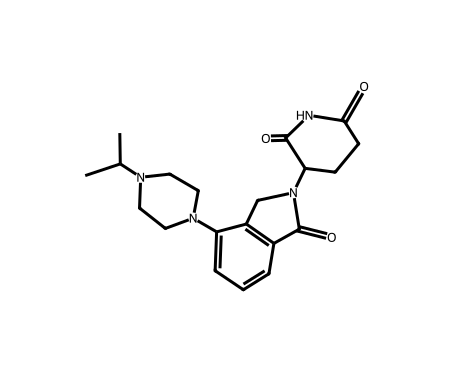 CC(C)N1CCN(c2cccc3c2CN(C2CCC(=O)NC2=O)C3=O)CC1